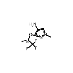 C[C@@H](Oc1nn(C)cc1N)C(F)(F)F